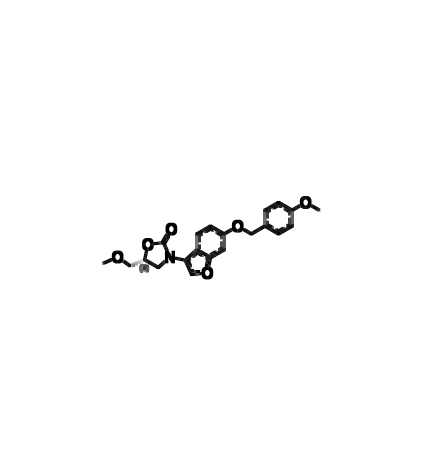 COC[C@H]1CN(c2coc3cc(OCc4ccc(OC)cc4)ccc23)C(=O)O1